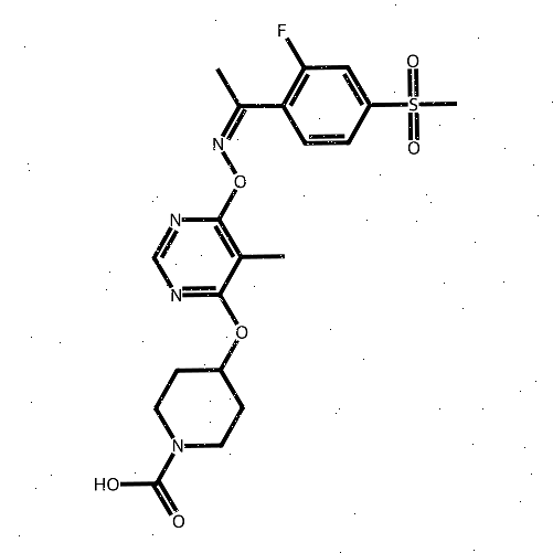 CC(=NOc1ncnc(OC2CCN(C(=O)O)CC2)c1C)c1ccc(S(C)(=O)=O)cc1F